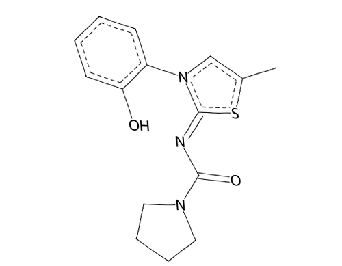 Cc1cn(-c2ccccc2O)/c(=N/C(=O)N2CCCC2)s1